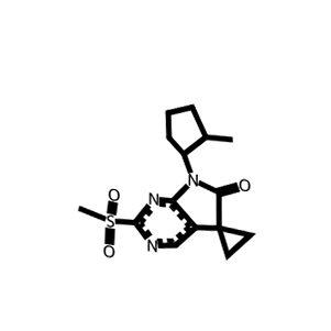 CC1CCCC1N1C(=O)C2(CC2)c2cnc(S(C)(=O)=O)nc21